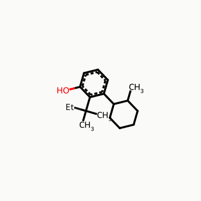 CCC(C)(C)c1c(O)cccc1C1CCCCC1C